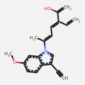 C#Cc1cn(/C(C)=C/C=C(\C=C)C(=C)O)c2cc(OC)ccc12